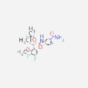 COc1c([C@H]2C[C@@](C)(C(C)(F)F)O[C@@H]2C(=O)Nc2ccnc(C(N)=O)c2)ccc(F)c1F